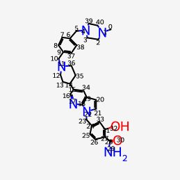 CN1CCN(Cc2ccc(CN3CCC(c4cnc5c(ccn5Cc5ccc(C(N)=O)c(O)c5)c4)CC3)cc2)CC1